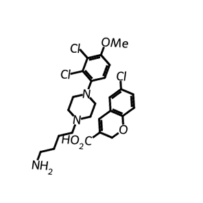 COc1ccc(N2CCN(CCCCN)CC2)c(Cl)c1Cl.O=C(O)C1=Cc2cc(Cl)ccc2OC1